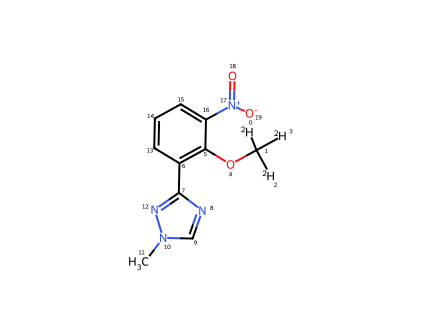 [2H]C([2H])([2H])Oc1c(-c2ncn(C)n2)cccc1[N+](=O)[O-]